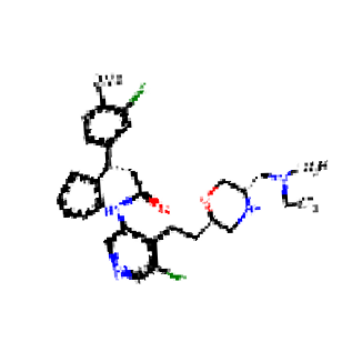 COc1ccc([C@H](CC(=O)Nc2cncc(F)c2CC[C@@H]2CN[C@@H](CN(CC(F)(F)F)C(=O)O)CO2)c2ccccc2)cc1Cl